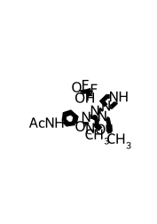 CC#CCn1c(N2CCNCC2)nc2nc(Oc3cccc(NC(C)=O)c3)n(C)c(=O)c21.O=C(O)C(F)(F)F